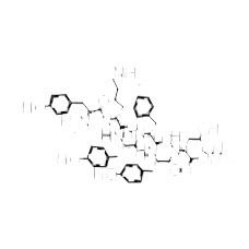 CC(C)C[C@H](NC(=O)[C@H](Cc1ccc(O)cc1)NC(=O)[C@H](Cc1ccccc1)NC(=O)[C@H](Cc1ccc(O)cc1)NC(=O)[C@H](CCCCN)NC(=O)[C@@H](N)Cc1ccc(O)cc1)C(=O)O